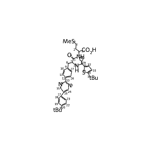 CSCC[C@H](NC(=O)[C@H](Cc1ccc(-c2ncc(-c3ccc(C(C)(C)C)cc3)cn2)cc1)NC(=O)c1ccc(C(C)(C)C)s1)C(=O)O